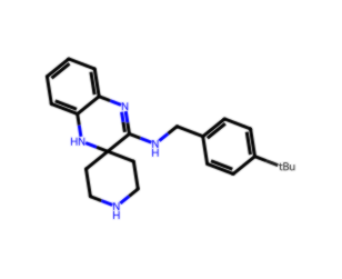 CC(C)(C)c1ccc(CNC2=Nc3ccccc3NC23CCNCC3)cc1